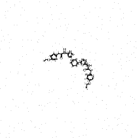 CCOc1ccc(CC(=O)Nc2nnc([C@H]3CCC[C@H](c4nnc(NC(=O)Cc5ccc(OCC)cn5)s4)C3)s2)nc1